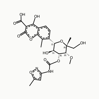 CO[C@@H]1[C@H](OC(=O)Nc2cc(C)on2)[C@@H](O)[C@H](c2ccc3c(O)c(C(=O)O)c(=O)oc3c2C)O[C@]1(C)CO